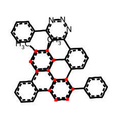 Cc1cc2c3ccccc3c3ccccc3c2c(-c2c(-c3ccccc3-c3ccccc3)cccc2-c2nnnc(-c3ccccc3)c2-c2ccccc2)c1C